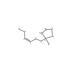 CC/C=C\CCC1(C)CCCO1